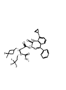 NC(=O)[C@H](CCC(F)(F)F)[C@H](CC1CC(F)(F)C1)C(=O)N[C@H]1N=C(c2ccccc2)c2cccc(C3CC3)c2NC1=O